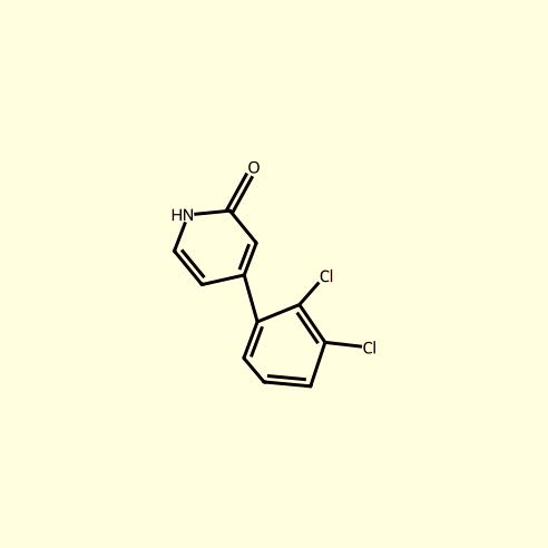 O=c1cc(-c2cccc(Cl)c2Cl)cc[nH]1